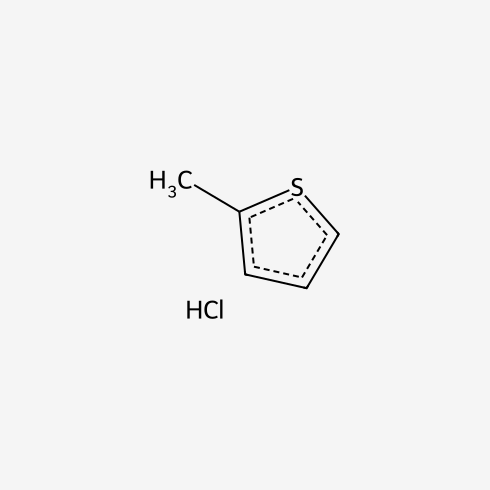 Cc1cccs1.Cl